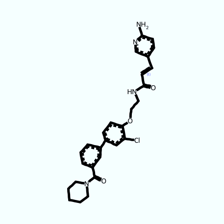 Nc1ccc(/C=C/C(=O)NCCOc2ccc(-c3cccc(C(=O)N4CCCCC4)c3)cc2Cl)cn1